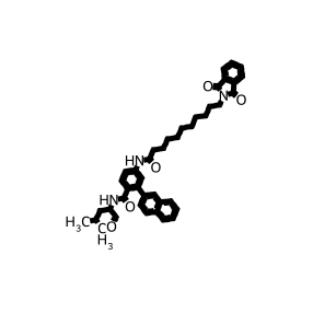 CC(C)CC(C=O)NC(=O)c1ccc(NC(=O)CCCCCCCCCCN2C(=O)c3ccccc3C2=O)cc1-c1ccc2ccccc2c1